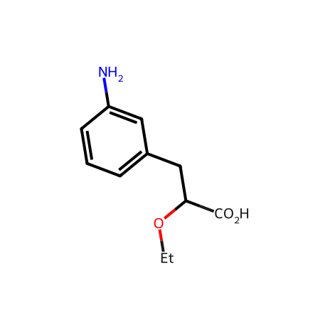 CCOC(Cc1cccc(N)c1)C(=O)O